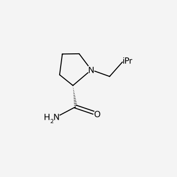 CC(C)CN1CCC[C@H]1C(N)=O